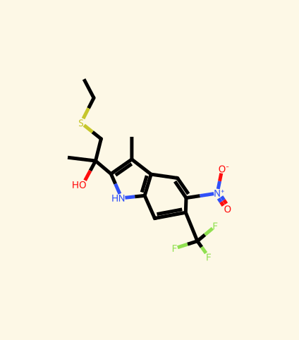 CCSCC(C)(O)c1[nH]c2cc(C(F)(F)F)c([N+](=O)[O-])cc2c1C